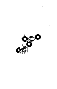 C[C@@H]1CCC[C@](c2cccc(NC(=O)c3noc4ccccc34)c2)(N2CCN(c3ccccc3)CC2)C1